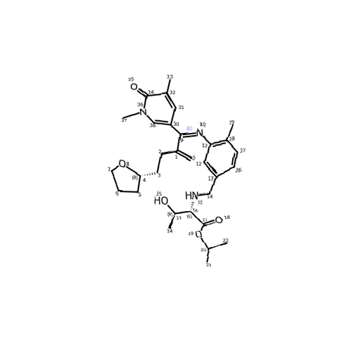 C=C(CC[C@@H]1CCCO1)/C(=N\c1cc(CN[C@H](C(=O)OC(C)C)[C@@H](C)O)ccc1C)c1cc(C)c(=O)n(C)c1